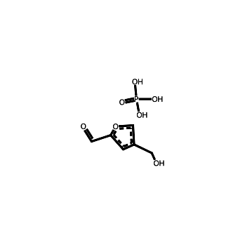 O=Cc1cc(CO)co1.O=P(O)(O)O